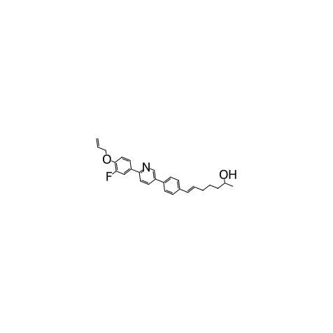 C=CCOc1ccc(-c2ccc(-c3ccc(/C=C/CCCC(C)O)cc3)cn2)cc1F